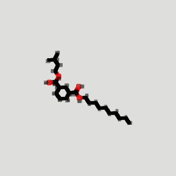 CCCCCCCCCCOC(=O)C1CCCC(C(=O)OCCC(C)C)C1